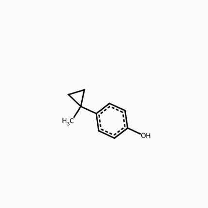 CC1(c2ccc(O)cc2)CC1